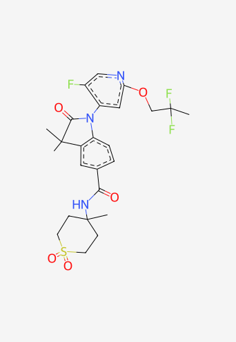 CC(F)(F)COc1cc(N2C(=O)C(C)(C)c3cc(C(=O)NC4(C)CCS(=O)(=O)CC4)ccc32)c(F)cn1